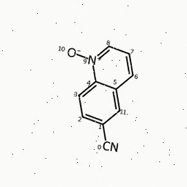 N#Cc1ccc2c(ccc[n+]2[O-])c1